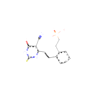 N#Cc1c(C=Cc2ccccc2CCP(=O)(O)O)[nH]c(=S)[nH]c1=O